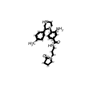 Cc1ccc(C2CNCCN2c2ccc(C(=O)NCCCN3CCCC3=O)cc2N)cc1